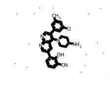 Cc1cc(Cl)cc(-c2cnc3ncc(-c4cccc(C#N)c4O)cc3c2N2CCC(N)CC2)c1